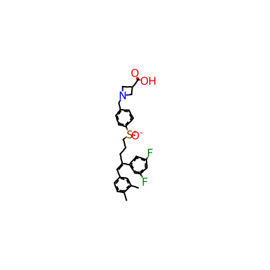 Cc1ccc(C=C(CCC[S+]([O-])c2ccc(CN3CC(C(=O)O)C3)cc2)c2cc(F)cc(F)c2)cc1C